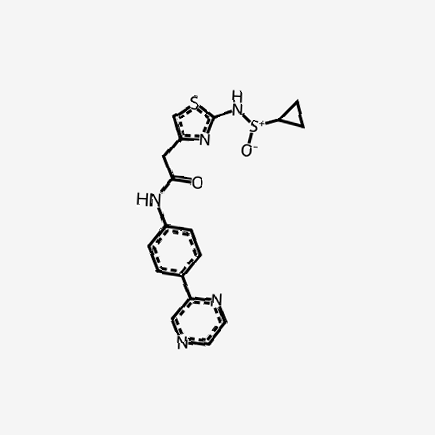 O=C(Cc1csc(N[S+]([O-])C2CC2)n1)Nc1ccc(-c2cnccn2)cc1